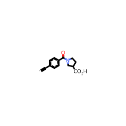 [C]#Cc1ccc(C(=O)N2CCC(C(=O)O)C2)cc1